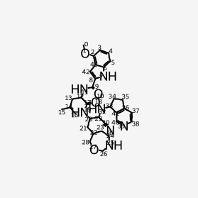 COc1cccc2[nH]c(C(=O)NC(CC(C)C)C(=O)NC(CC3CCNCOC3)C(C#N)NC3CCc4ccncc43)cc12